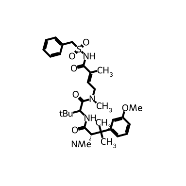 CN[C@H](C(=O)NC(C(=O)N(C)C/C=C(\C)C(=O)NS(=O)(=O)Cc1ccccc1)C(C)(C)C)C(C)(C)c1cccc(OC)c1